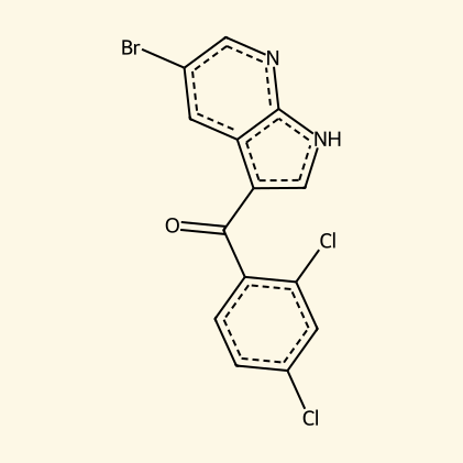 O=C(c1ccc(Cl)cc1Cl)c1c[nH]c2ncc(Br)cc12